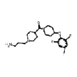 NCCCN1CCC(C(=O)N2CCC(Oc3c(F)cc(F)cc3F)CC2)CC1